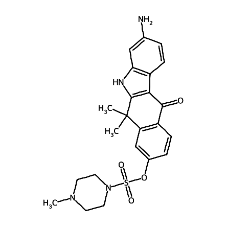 CN1CCN(S(=O)(=O)Oc2ccc3c(c2)C(C)(C)c2[nH]c4cc(N)ccc4c2C3=O)CC1